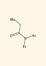 CCN(C(C)=O)C(=O)CC(C)(C)C